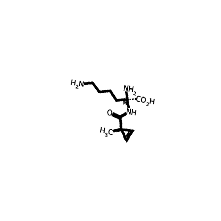 CC1(C(=O)N[C@](N)(CCCCN)C(=O)O)C=C1